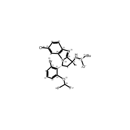 CC(C)(C)[S+]([O-])N[C@]1(C)C[C@H](c2c(Br)cccc2OC(F)F)n2c1nc1ccc(Cl)cc12